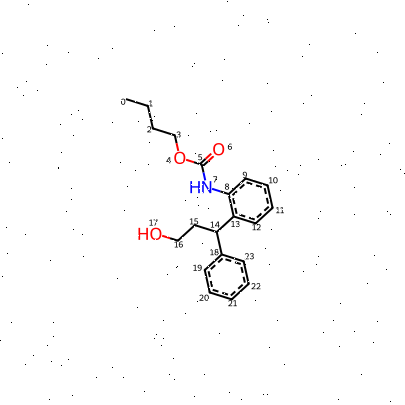 CCCCOC(=O)Nc1ccccc1C(CCO)c1ccccc1